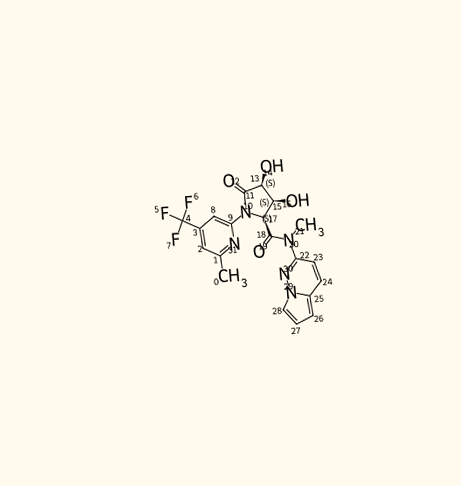 Cc1cc(C(F)(F)F)cc(N2C(=O)[C@@H](O)[C@@H](O)[C@H]2C(=O)N(C)c2ccc3cccn3n2)n1